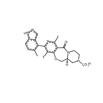 Cc1ccc2[nH]ncc2c1-c1nc(F)c2c(c1F)OC[C@H]1CN(C(=O)O)CCN1C2=O